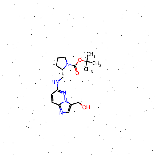 CC(C)(C)OC(=O)N1CCC[C@H]1CNc1ccc2ncc(CO)n2n1